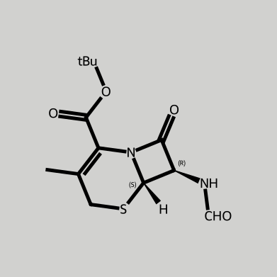 CC1=C(C(=O)OC(C)(C)C)N2C(=O)[C@@H](NC=O)[C@@H]2SC1